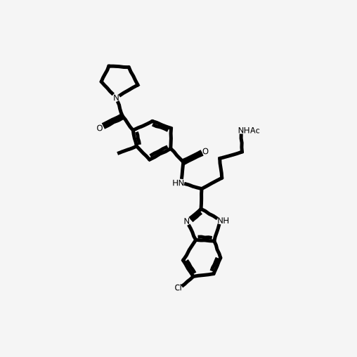 CC(=O)NCCCC(NC(=O)c1ccc(C(=O)N2CCCC2)c(C)c1)c1nc2cc(Cl)ccc2[nH]1